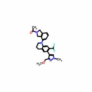 COCc1nn(C)cc1-c1cc2c(cc1C(F)F)N(c1cccc3c1CN(C(C)=O)C3)CCC2